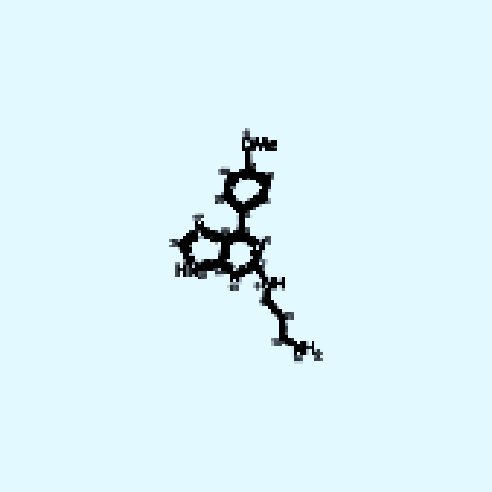 COc1ccc(-c2nc(NCCCN)nc3[nH]cnc23)cc1